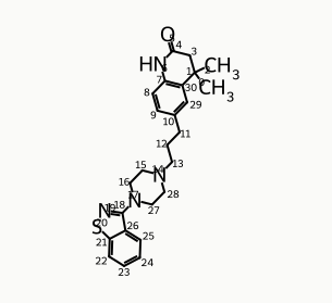 CC1(C)CC(=O)Nc2ccc(CCCN3CCN(c4nsc5ccccc45)CC3)cc21